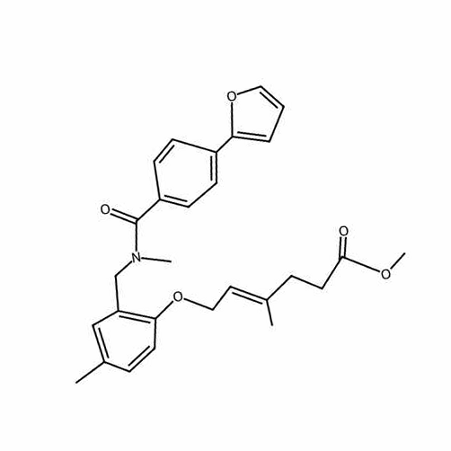 COC(=O)CC/C(C)=C/COc1ccc(C)cc1CN(C)C(=O)c1ccc(-c2ccco2)cc1